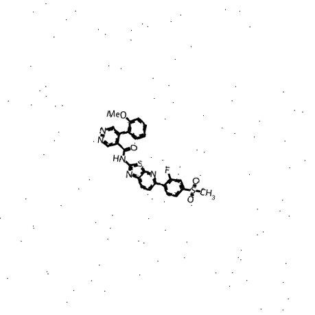 COc1ccccc1-c1cnncc1C(=O)Nc1nc2ccc(-c3ccc(S(C)(=O)=O)cc3F)nc2s1